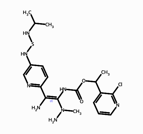 CC(C)NSNc1ccc(/C(N)=C(\NC(=O)OC(C)c2cccnc2Cl)N(C)N)nc1